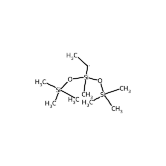 C[CH][Si](C)(O[Si](C)(C)C)O[Si](C)(C)C